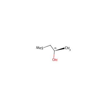 CSC[C@@H](C)O